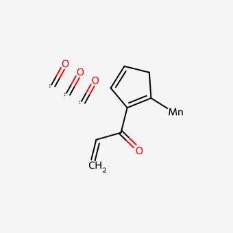 C=CC(=O)C1=[C]([Mn])CC=C1.[C]=O.[C]=O.[C]=O